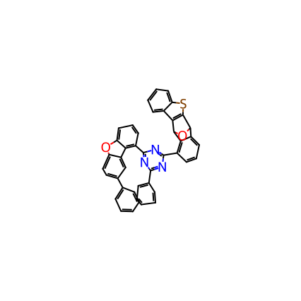 c1ccc(-c2ccc3oc4cccc(-c5nc(-c6ccccc6)nc(-c6cccc7c6C6OC7c7sc8ccccc8c76)n5)c4c3c2)cc1